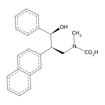 CN(C[C@@H](c1ccc2ccccc2c1)[C@H](O)c1ccccc1)C(=O)O